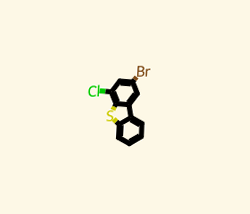 Clc1cc(Br)cc2c1sc1ccccc12